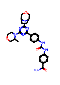 CC1COCCN1c1nc(-c2ccc(NC(=O)Nc3ccc(C(N)=O)cc3)cc2)nc(N2C3CCC2COC3)n1